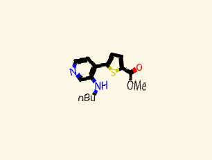 CCCCNc1cnccc1-c1ccc(C(=O)OC)s1